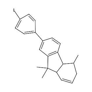 CC1CC=CC2C1c1ccc(-c3ccc(I)cc3)cc1C2(C)C